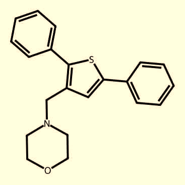 c1ccc(-c2cc(CN3CCOCC3)c(-c3ccccc3)s2)cc1